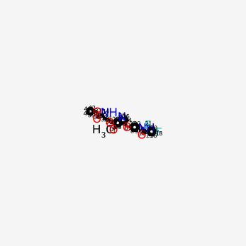 COc1cc2c(Oc3ccc(NC(=O)c4ccc(F)cc4F)cc3)ccnc2cc1OCC[C@H](N)C(=O)OC1CCCC1